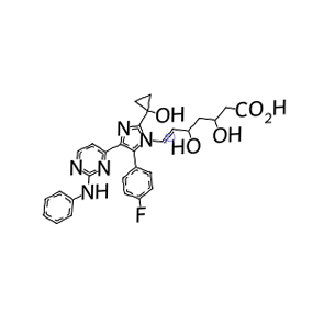 O=C(O)CC(O)CC(O)/C=C/n1c(C2(O)CC2)nc(-c2ccnc(Nc3ccccc3)n2)c1-c1ccc(F)cc1